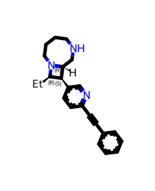 CC[C@@H]1[C@H](c2ccc(C#Cc3ccccc3)nc2)[C@@H]2CNCCCCN12